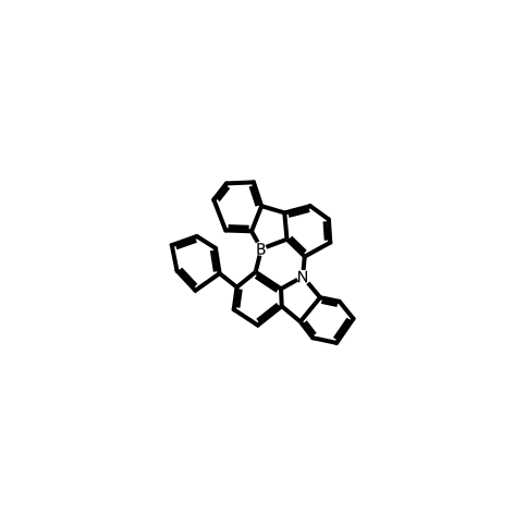 c1ccc(-c2ccc3c4ccccc4n4c3c2B2c3ccccc3-c3cccc-4c32)cc1